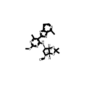 CSc1nc(C)c(-c2nc3c(C)nccc3s2)c(N[C@@H]2C[C@H](C=O)[C@H]3OC(C)(C)O[C@H]32)n1